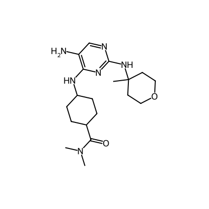 CN(C)C(=O)C1CCC(Nc2nc(NC3(C)CCOCC3)ncc2N)CC1